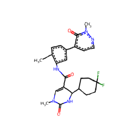 Cc1ccc(-c2ccnn(C)c2=O)cc1NC(=O)C1=CN(C)C(=O)NC1C1CCC(F)(F)CC1